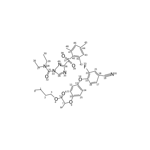 CCCCOC(=O)C(C)Oc1ccc(Oc2ccc(C#N)cc2F)cc1.CCN(CC)C(=O)n1cnc(S(=O)(=O)c2c(C)cc(C)cc2C)n1